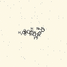 CS(=O)(=O)N1CC[C@H](Nc2ncc(C(F)(F)F)c(-c3cn(-c4cccnc4C#N)cn3)n2)[C@H](F)C1